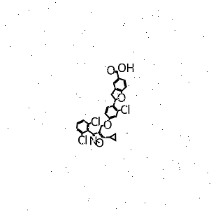 O=C(O)c1ccc2c(c1)CC(c1ccc(OCc3c(-c4c(Cl)cccc4Cl)noc3C3CC3)cc1Cl)O2